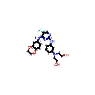 OCCN(CCO)c1cccc(Nc2ncc(F)c(Nc3ccc4c(c3)OCCO4)n2)c1